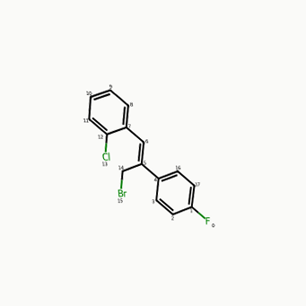 Fc1ccc(C(=Cc2ccccc2Cl)CBr)cc1